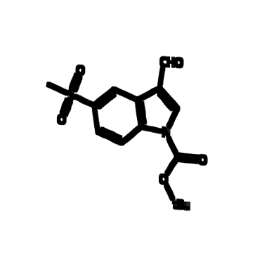 CC(C)(C)OC(=O)n1cc(C=O)c2cc(S(C)(=O)=O)ccc21